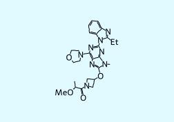 CCc1nc2ccccc2n1-c1nc(N2CCOCC2)c2nc(OC3CN(C(=O)[C@H](C)OC)C3)n(C)c2n1